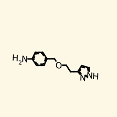 Nc1ccc(COCCc2cc[nH]n2)cc1